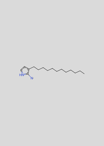 CCCCCCCCCCCCc1cc[nH]c1[N]